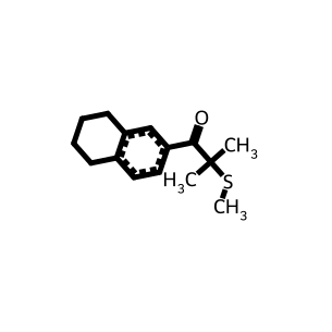 CSC(C)(C)C(=O)c1ccc2c(c1)CCCC2